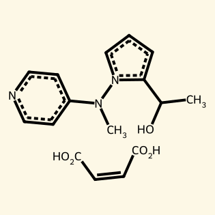 CC(O)c1cccn1N(C)c1ccncc1.O=C(O)/C=C\C(=O)O